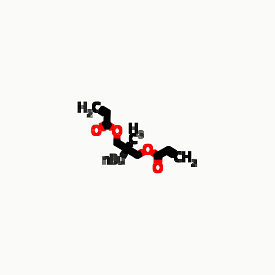 C=CC(=O)OCC(C)(CCCC)COC(=O)C=C